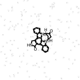 O=C1NCc2c1c1c3ccccc3n3c1c1c2c2ccccc2n1[C@@H]1C[C@H]3CC1=O